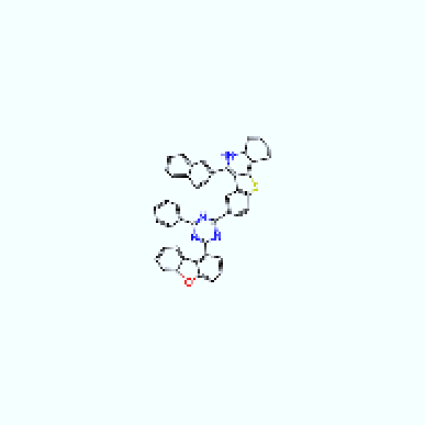 C1=CC2=c3sc4ccc(-c5nc(-c6ccccc6)nc(-c6cccc7oc8ccccc8c67)n5)cc4c3=C(c3ccc4ccccc4c3)NC2C=C1